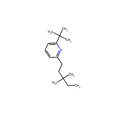 CCC(C)(C)CCc1cccc(C(C)(C)C)n1